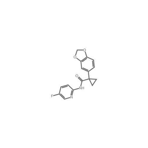 O=C(Nc1ccc(F)cn1)C1(c2ccc3c(c2)OCO3)CC1